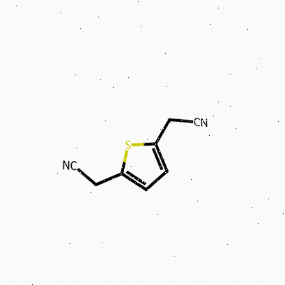 N#CCc1ccc(CC#N)s1